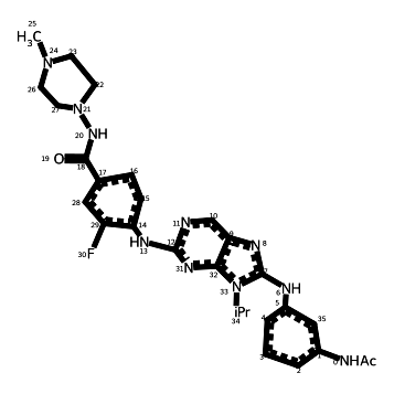 CC(=O)Nc1cccc(Nc2nc3cnc(Nc4ccc(C(=O)NN5CCN(C)CC5)cc4F)nc3n2C(C)C)c1